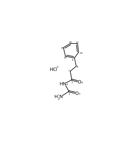 Cl.NC(=O)NC(=O)CCc1ccccc1